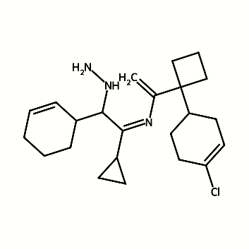 C=C(/N=C(/C1CC1)C(NN)C1C=CCCC1)C1(C2CC=C(Cl)CC2)CCC1